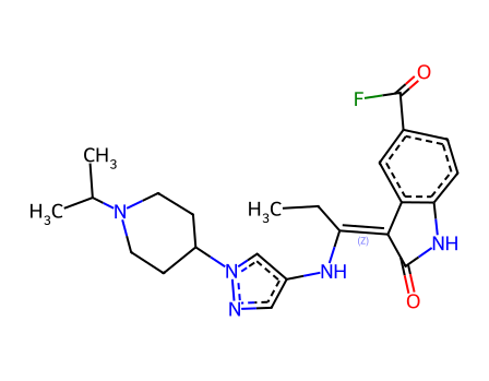 CC/C(Nc1cnn(C2CCN(C(C)C)CC2)c1)=C1/C(=O)Nc2ccc(C(=O)F)cc21